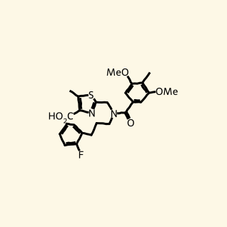 COc1cc(C(=O)N(CCCc2ccccc2F)Cc2nc(C(=O)O)c(C)s2)cc(OC)c1C